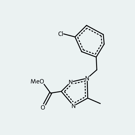 COC(=O)c1nc(C)n(Cc2cccc(Cl)c2)n1